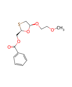 COCCO[C@@H]1CS[C@H](COC(=O)c2ccccc2)O1